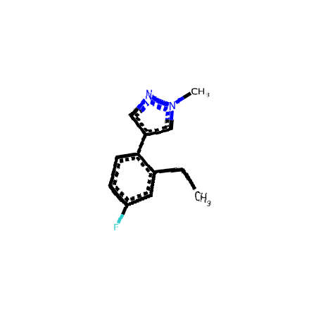 CCc1cc(F)ccc1-c1cnn(C)c1